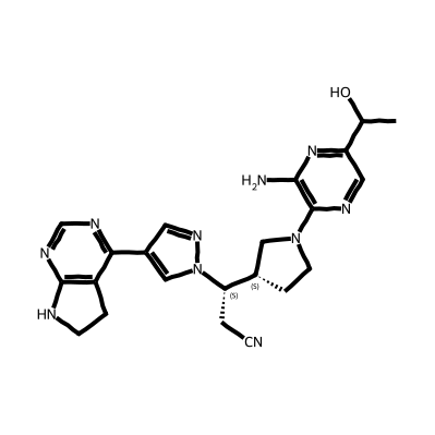 CC(O)c1cnc(N2CC[C@H]([C@H](CC#N)n3cc(-c4ncnc5c4CCN5)cn3)C2)c(N)n1